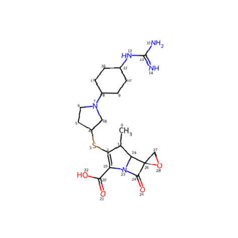 CC1C(SC2CCN(C3CCC(NC(=N)N)CC3)C2)=C(C(=O)O)N2C(=O)C3(CO3)C12